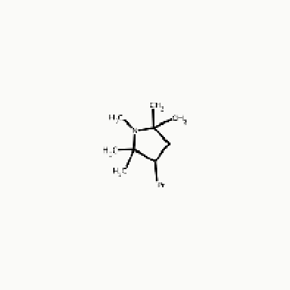 CC(C)C1CC(C)(C)N(C)C1(C)C